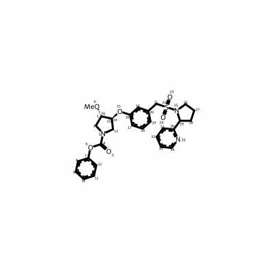 CO[C@H]1CN(C(=O)Oc2ccccc2)C[C@@H]1Oc1cccc(CS(=O)(=O)N2CCCC2c2ccccn2)c1